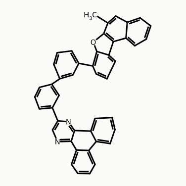 Cc1cc2ccccc2c2c1oc1c(-c3cccc(-c4cccc(-c5cnc6c7ccccc7c7ccccc7c6n5)c4)c3)cccc12